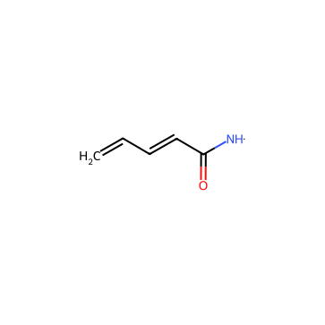 C=CC=CC([NH])=O